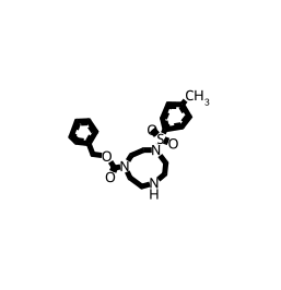 Cc1ccc(S(=O)(=O)N2CCNCCN(C(=O)OCc3ccccc3)CC2)cc1